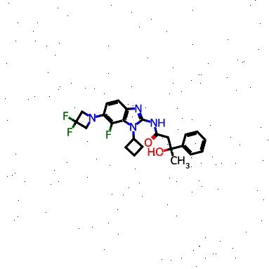 CC(O)(CC(=O)Nc1nc2ccc(N3CC(F)(F)C3)c(F)c2n1C1CCC1)c1ccccc1